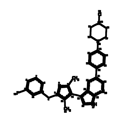 Cc1nn(Cc2cccc(F)c2)c(C)c1-c1c[nH]c2ncc(-c3ccc(N4CCN(Cl)CC4)cc3)cc12